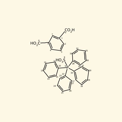 O=C(O)c1cccc(C(=O)O)c1.O=S(=O)(O)P(c1ccccc1)(c1ccccc1)(c1ccccc1)c1ccccc1